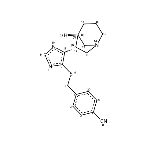 N#Cc1ccc(CSc2nsnc2[C@H]2CN3CCC[C@@H]2C3)cc1